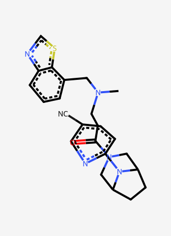 CN(CCC(=O)N1CC2CCC(C1)N2c1ccc(C#N)cn1)Cc1cccc2ncsc12